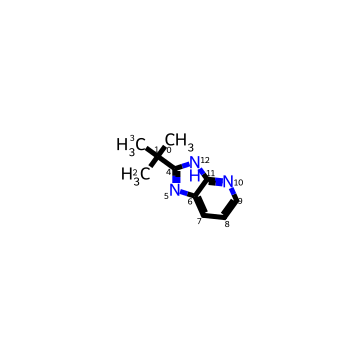 CC(C)(C)c1nc2cccnc2[nH]1